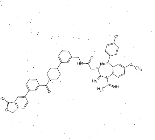 COc1ccc2c(c1)C(c1ccc(Cl)cc1)=N[C@@H](CC(=O)NCc1cccc(C3CCN(C(=O)c4cccc(-c5ccc6c(c5)B(O)OC6)c4)CC3)c1)C(=N)N2C(C)=N